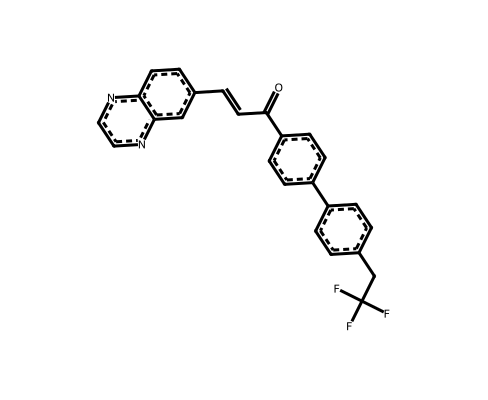 O=C(C=Cc1ccc2nccnc2c1)c1ccc(-c2ccc(CC(F)(F)F)cc2)cc1